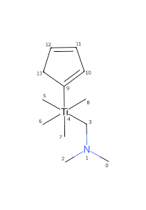 CN(C)[CH2][Ti]([CH3])([CH3])([CH3])([CH3])[C]1=CC=CC1